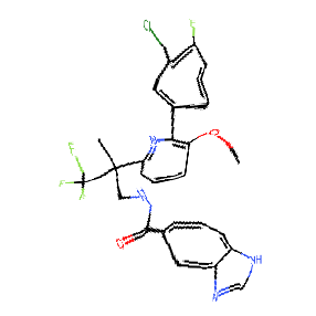 COc1ccc(C(C)(CNC(=O)c2ccc3[nH]cnc3c2)C(F)(F)F)nc1-c1ccc(F)c(Cl)c1